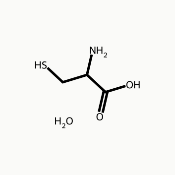 NC(CS)C(=O)O.O